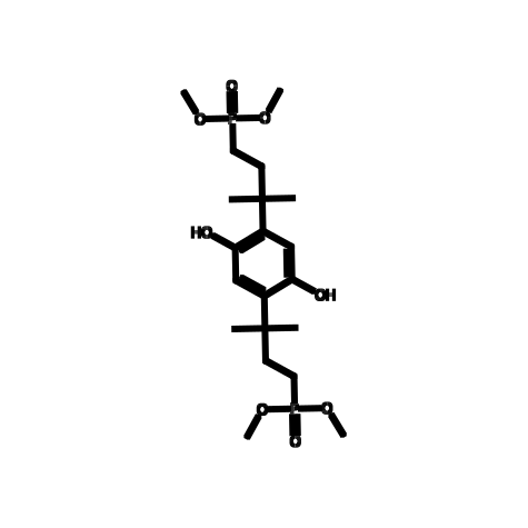 COP(=O)(CCC(C)(C)c1cc(O)c(C(C)(C)CCP(=O)(OC)OC)cc1O)OC